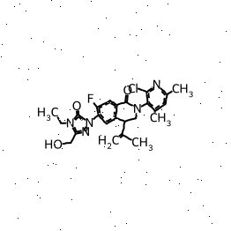 C=C(C)C1CN(c2c(C)cc(C)nc2Cl)C(=O)c2cc(F)c(-n3nc(CO)n(CC)c3=O)cc21